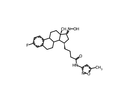 Cc1cc(NC(=O)CCC[C@@H]2C/C(=N\O)[C@@]3(C)CCC4c5ccc(F)cc5CCC4C23)no1